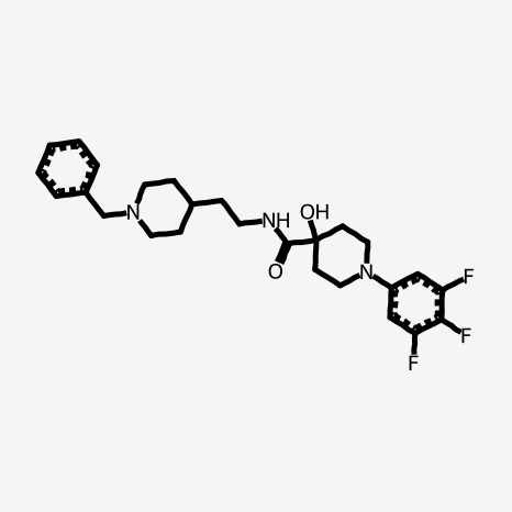 O=C(NCCC1CCN(Cc2ccccc2)CC1)C1(O)CCN(c2cc(F)c(F)c(F)c2)CC1